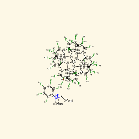 CCCCCCCCC[NH+](CC(C)CCC)c1c(F)c(F)c(F)c(F)c1F.Fc1cc2c(c(F)c1F)-c1c(F)c(F)c(F)c(F)c1C2[B-](C1c2cc(F)c(F)c(F)c2-c2c(F)c(F)c(F)c(F)c21)(C1c2cc(F)c(F)c(F)c2-c2c(F)c(F)c(F)c(F)c21)C1c2cc(F)c(F)c(F)c2-c2c(F)c(F)c(F)c(F)c21